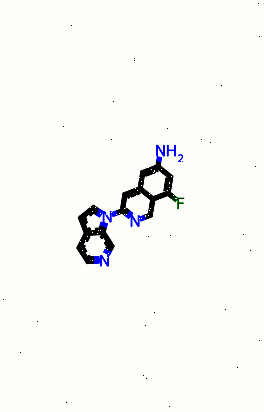 NC1=CC2=CC(n3ccc4ccncc43)=NCC2C(F)=C1